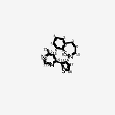 C1=Cc2ccccc2SN=C1.Cc1cc(-c2cccs2)ncn1